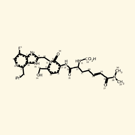 CC(C)Cc1ncc(F)c2nc(Cn3c(CO)ccc(NC(=O)C(CCC=CC(=O)N(C)C)NC(=O)O)c3=O)[nH]c12